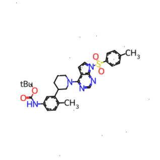 Cc1ccc(S(=O)(=O)n2ccc3c(N4CCCC(c5cc(NC(=O)OC(C)(C)C)ccc5C)C4)ncnc32)cc1